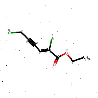 CCOC(=O)/C(Br)=C/C#CCCl